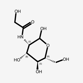 O=C(CO)N[C@@H]1C(O)O[C@H](CO)[C@@H](O)[C@@H]1O